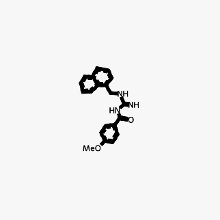 COc1ccc(C(=O)NC(=N)NCc2cccc3ccccc23)cc1